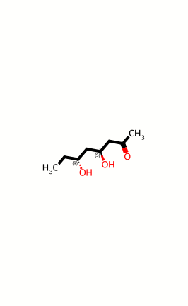 CC[C@@H](O)C[C@H](O)CC(C)=O